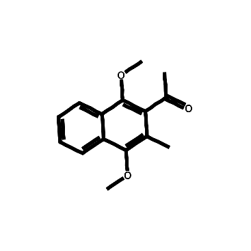 COc1c(C)c(C(C)=O)c(OC)c2ccccc12